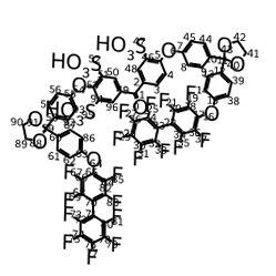 O=C(c1ccc(Oc2ccc(C3(c4ccc(Oc5c(F)c(F)c(-c6c(F)c(F)c(F)c(F)c6F)c(F)c5F)cc4)OCCO3)cc2)c(S(=O)(=O)O)c1)c1cc(S(=O)(=O)O)c(Oc2ccc(C3(c4ccc(Oc5c(F)c(F)c(-c6c(F)c(F)c(F)c(F)c6F)c(F)c5F)cc4)OCCO3)cc2)c(S(=O)(=O)O)c1